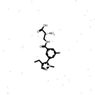 CCc1cnn(C)c1-c1cc(F)cc(C(=O)NC[C@@H](N)C(=O)O)c1